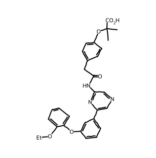 CCOc1ccccc1Oc1cccc(-c2cncc(NC(=O)Cc3ccc(OC(C)(C)C(=O)O)cc3)n2)c1